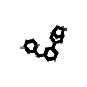 c1cnc(Oc2cncc(N3CC4CNC(C4)C3)c2)cn1